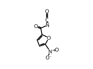 O=C=NC(=O)c1ccc([N+](=O)[O-])o1